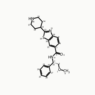 COC[C@@H](NC(=O)c1ccc2nc(C3CCNCC3)sc2c1)c1ccccc1